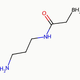 BCC(=O)NCCCN